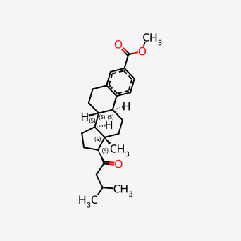 COC(=O)c1ccc2c(c1)CC[C@@H]1[C@@H]2CC[C@]2(C)[C@@H](C(=O)CC(C)C)CC[C@@H]12